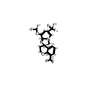 FC(F)OC1=CC(C(F)(F)F)=CN2C[C@@]3(CCOc4c(C(F)F)cccc43)N=C12